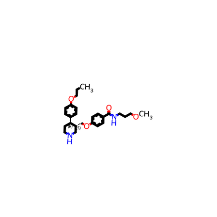 CCCOc1ccc([C@@H]2CCNC[C@H]2COc2ccc(C(=O)NCCCOC)cc2)cc1